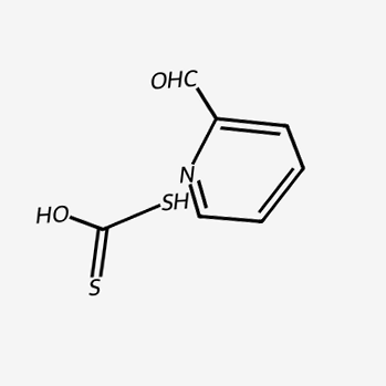 O=Cc1ccccn1.OC(=S)S